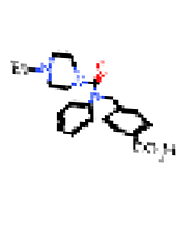 CCN1CCN(C(=O)N(Cc2ccc(C(=O)O)cc2)c2ccccc2)CC1